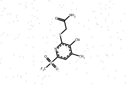 Cc1cc(S(=O)(=O)C(F)(F)F)nc(SCC(N)=O)c1C#N